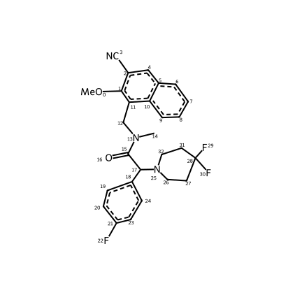 COc1c(C#N)cc2ccccc2c1CN(C)C(=O)C(c1ccc(F)cc1)N1CCC(F)(F)CC1